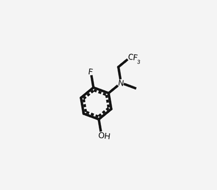 CN(CC(F)(F)F)c1cc(O)ccc1F